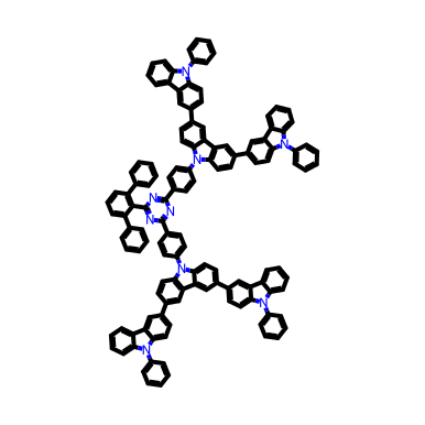 c1ccc(-c2cccc(-c3ccccc3)c2-c2nc(-c3ccc(-n4c5ccc(-c6ccc7c(c6)c6ccccc6n7-c6ccccc6)cc5c5cc(-c6ccc7c(c6)c6ccccc6n7-c6ccccc6)ccc54)cc3)nc(-c3ccc(-n4c5ccc(-c6ccc7c(c6)c6ccccc6n7-c6ccccc6)cc5c5cc(-c6ccc7c(c6)c6ccccc6n7-c6ccccc6)ccc54)cc3)n2)cc1